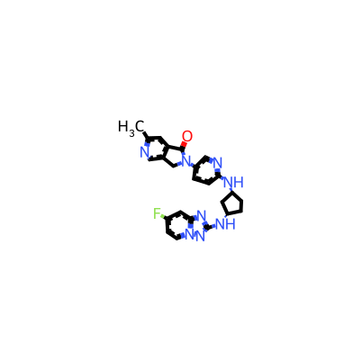 Cc1cc2c(cn1)CN(c1ccc(N[C@H]3CC[C@H](Nc4nc5cc(F)ccn5n4)C3)nc1)C2=O